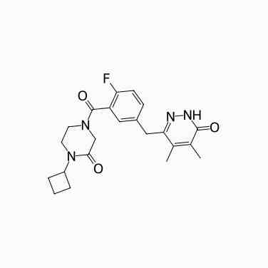 Cc1c(Cc2ccc(F)c(C(=O)N3CCN(C4CCC4)C(=O)C3)c2)n[nH]c(=O)c1C